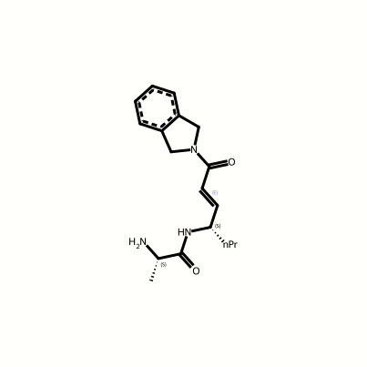 CCC[C@@H](/C=C/C(=O)N1Cc2ccccc2C1)NC(=O)[C@H](C)N